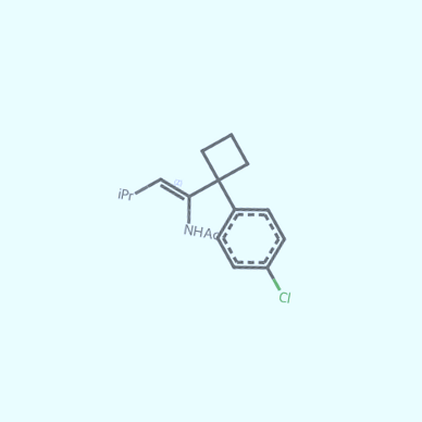 CC(=O)N/C(=C\C(C)C)C1(c2ccc(Cl)cc2)CCC1